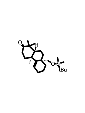 CC1(C)C(=O)CC[C@]2(C)C3=CCCC[C@]3(CO[Si](C)(C)C(C)(C)C)CC[C@@H]12